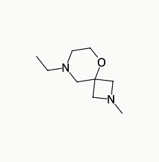 CCN1CCOC2(CN(C)C2)C1